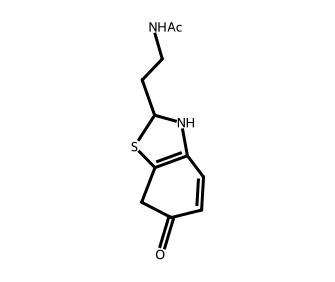 CC(=O)NCCC1NC2=C(CC(=O)C=C2)S1